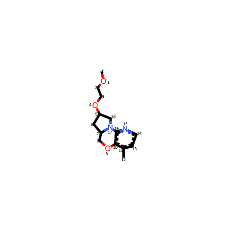 COCCOC1CC2COc3c(C)ccnc3N2C1